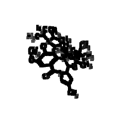 COc1cc2c(cc1O[Si](C(C)C)(C(C)C)C(C)C)N(C(=O)O)C(O[Si](C)(C)C(C)(C)C)C1CC(C)=CN1C2=O